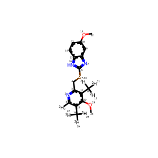 [2H]c1nc(CSc2nc3cc(OC)ccc3[nH]2)c(C([2H])([2H])[2H])c(OC)c1C([2H])([2H])[2H]